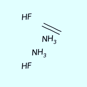 C=C.F.F.N.N